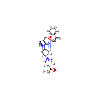 Cc1cnn(-c2ccc(N3CCC(C(=O)O)CC3)cc2)c1NC(=O)OC(C)c1ccccc1